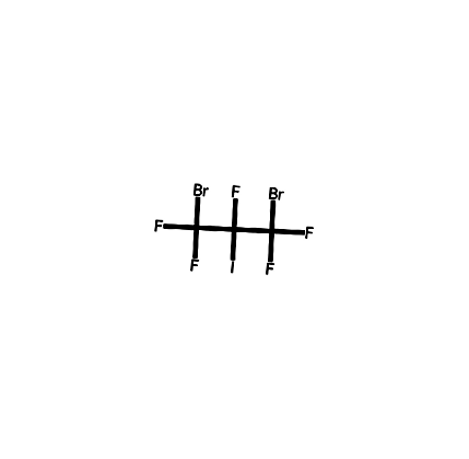 FC(F)(Br)C(F)(I)C(F)(F)Br